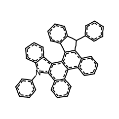 c1ccc(C2c3ccccc3-c3c2c2ccccc2c2c4ccccc4c4c(c5ccccc5n4-c4ccccc4)c32)cc1